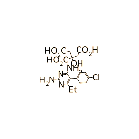 CCc1nc(N)nc(N)c1-c1ccc(Cl)cc1.O=C(O)CC(O)(CC(=O)O)C(=O)O